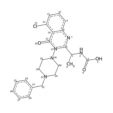 CC(NC(=O)O)c1nc2cccc(Cl)c2c(=O)n1N1CCN(Cc2ccccc2)CC1